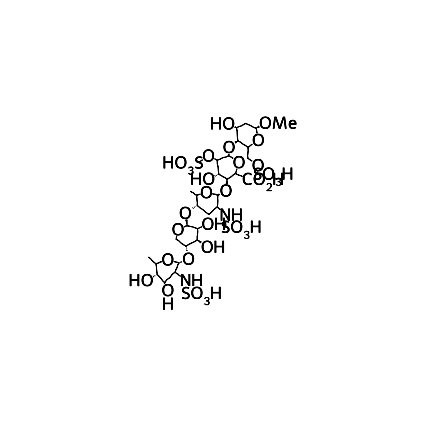 CO[C@@H]1C[C@@H](O)[C@H](O[C@@H]2OC(C(=O)O)[C@@H](O[C@H]3OC(C)[C@@H](O[C@@H]4OC[C@@H](O[C@H]5OC(C)[C@@H](O)[C@H](O)C5NS(=O)(=O)O)[C@H](O)C4O)CC3NS(=O)(=O)O)[C@H](O)C2OS(=O)(=O)O)C(COS(=O)(=O)O)O1